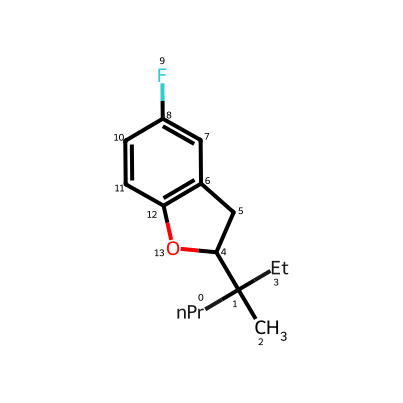 CCCC(C)(CC)C1Cc2cc(F)ccc2O1